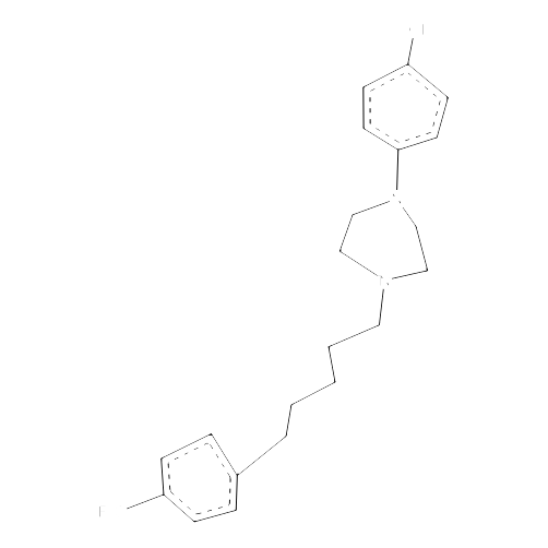 Oc1ccc(N2CCN(CCCCCc3ccc(C(F)(F)F)cc3)CC2)cc1